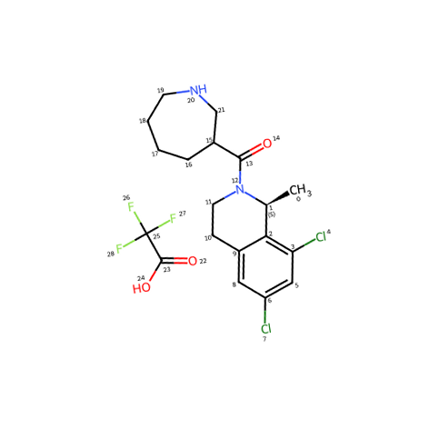 C[C@H]1c2c(Cl)cc(Cl)cc2CCN1C(=O)C1CCCCNC1.O=C(O)C(F)(F)F